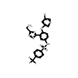 CCc1nnc(-c2cc(NS(=O)(=O)c3ccc(C(F)(F)F)cc3)ccc2Oc2cncc(Cl)c2)o1